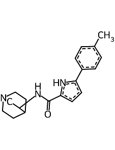 Cc1ccc(-c2ccc(C(=O)NC3CN4CCC3CC4)[nH]2)cc1